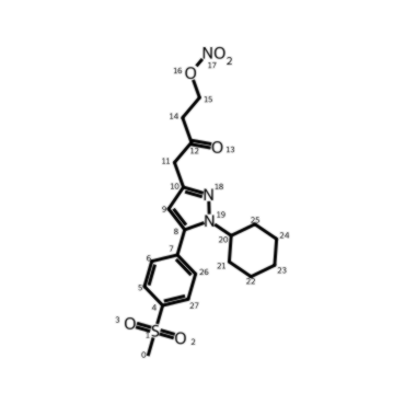 CS(=O)(=O)c1ccc(-c2cc(CC(=O)CCO[N+](=O)[O-])nn2C2CCCCC2)cc1